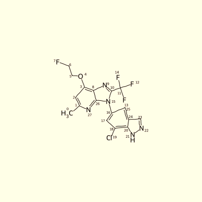 Cc1cc(OCCF)c2nc(C(F)(F)F)n(-c3cc(Cl)c4[nH]ncc4c3)c2n1